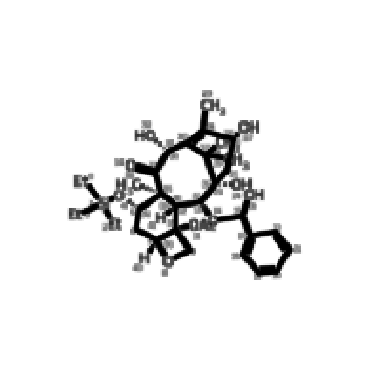 CC[Si](CC)(CC)O[C@H]1C[C@H]2OC[C@@]2(OC(C)=O)[C@H]2[C@H](OC(O)c3ccccc3)[C@]3(O)C[C@H](O)C(C)=C([C@@H](O)C(=O)[C@]12C)C3(C)C